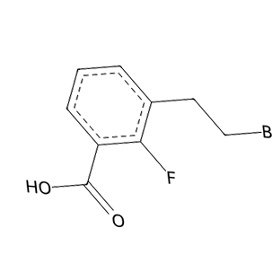 O=C(O)c1cccc(CCBr)c1F